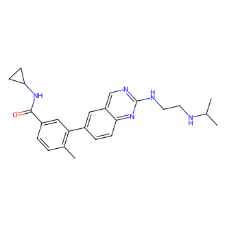 Cc1ccc(C(=O)NC2CC2)cc1-c1ccc2nc(NCCNC(C)C)ncc2c1